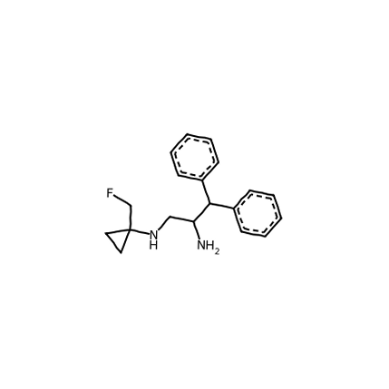 NC(CNC1(CF)CC1)C(c1ccccc1)c1ccccc1